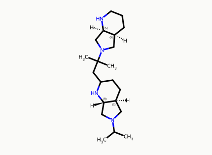 CC(C)N1C[C@@H]2CCC(CC(C)(C)N3C[C@@H]4CCCN[C@@H]4C3)N[C@H]2C1